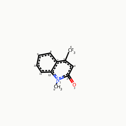 Cn1c(=O)cc(C(F)(F)F)c2ccccc21